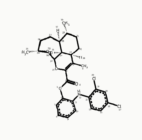 CC1=C(C(=O)Oc2ccccc2Nc2ccc(Cl)cc2Cl)OC2O[C@]3(C)CC[C@H]4[C@H](C)CC[C@@H]1[C@@]24OO3